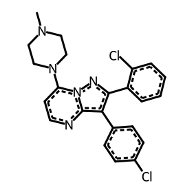 CN1CCN(c2ccnc3c(-c4ccc(Cl)cc4)c(-c4ccccc4Cl)nn23)CC1